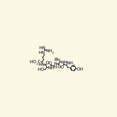 CCC(C)C(NC(=O)C(N)Cc1ccc(O)cc1)C(=O)NCC(=O)NC(CO)C(=O)NC(CCCNC(=N)N)C(=O)O